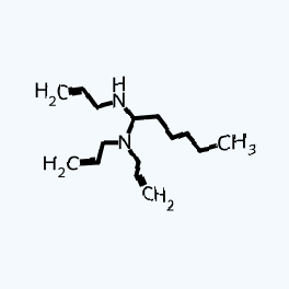 C=CCNC(CCCCC)N(CC=C)CC=C